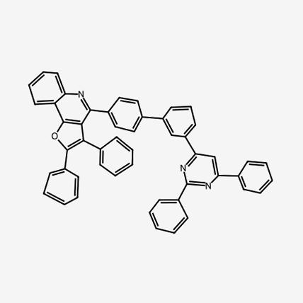 c1ccc(-c2cc(-c3cccc(-c4ccc(-c5nc6ccccc6c6oc(-c7ccccc7)c(-c7ccccc7)c56)cc4)c3)nc(-c3ccccc3)n2)cc1